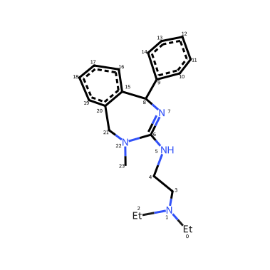 CCN(CC)CCNC1=NC(c2ccccc2)c2ccccc2CN1C